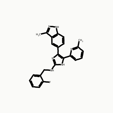 Cc1cccc(-c2[nH]c(NCc3ccccc3F)nc2-c2ccc3[nH]nc(C)c3c2)n1